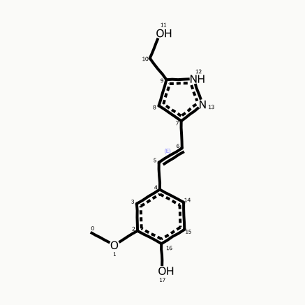 COc1cc(/C=C/c2cc(CO)[nH]n2)ccc1O